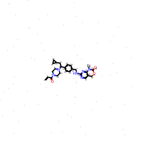 C=CC(=O)N1CCN(C(CC2CC2)c2ccc(CNc3ncc4c(n3)N(CC)C(=O)OC4)cc2)CC1